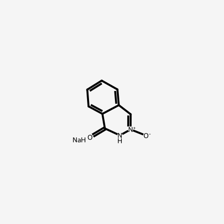 O=c1[nH][n+]([O-])cc2ccccc12.[NaH]